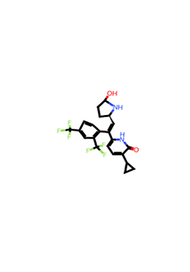 O=c1[nH]c(/C(=C/[C@H]2CCC(O)N2)c2ccc(C(F)(F)F)cc2C(F)(F)F)ccc1C1CC1